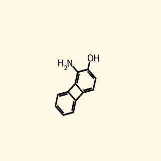 Nc1c(O)ccc2c1-c1ccccc1-2